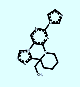 CCC12CCCCN1c1nc(-n3ccnc3)ncc1-n1cnnc12